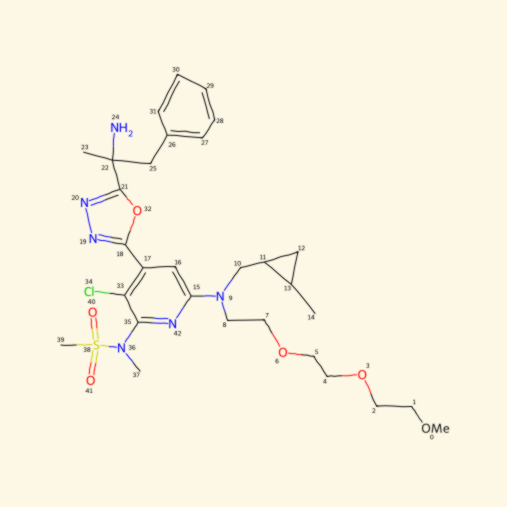 COCCOCCOCCN(CC1CC1C)c1cc(-c2nnc(C(C)(N)Cc3ccccc3)o2)c(Cl)c(N(C)S(C)(=O)=O)n1